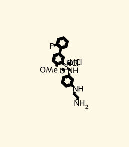 COc1ccc(-c2ccccc2F)cc1S(=O)(=O)Nc1cccc(NCCN)c1.Cl.Cl